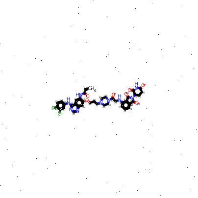 C=CC(=O)Nc1cc2c(Nc3ccc(F)c(Cl)c3)ncnc2cc1OCCCN1CCN(C(=O)CNc2cccc3c2C(=O)N(C2CCC(=O)NC2=O)C3=O)CC1